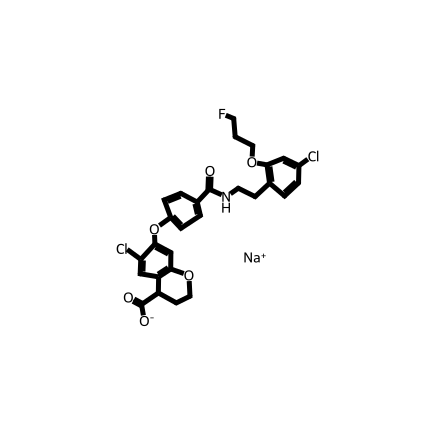 O=C(NCCc1ccc(Cl)cc1OCCCF)c1ccc(Oc2cc3c(cc2Cl)C(C(=O)[O-])CCO3)cc1.[Na+]